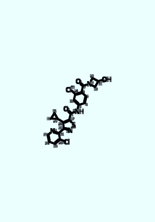 O=C(Nc1ccc(C(=O)N2CC(O)C2)c(Cl)c1)c1snc(-c2ncccc2Cl)c1C1CC1